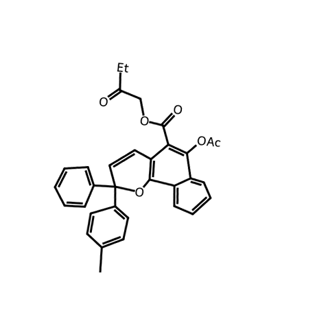 CCC(=O)COC(=O)c1c2c(c3ccccc3c1OC(C)=O)OC(c1ccccc1)(c1ccc(C)cc1)C=C2